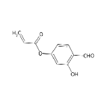 C=CC(=O)Oc1ccc(C=O)c(O)c1